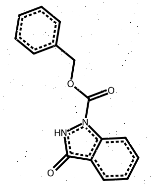 O=C(OCc1ccccc1)n1[nH]c(=O)c2ccccc21